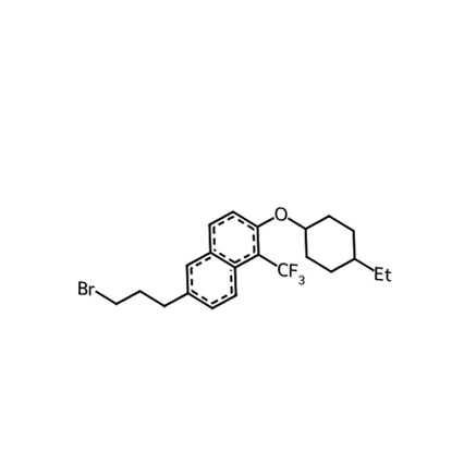 CCC1CCC(Oc2ccc3cc(CCCBr)ccc3c2C(F)(F)F)CC1